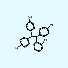 Oc1ccc(C(c2ccc(O)cc2)C(c2ccc(O)cc2)c2ccccc2O)cc1